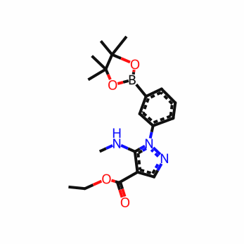 CCOC(=O)c1cnn(-c2cccc(B3OC(C)(C)C(C)(C)O3)c2)c1NC